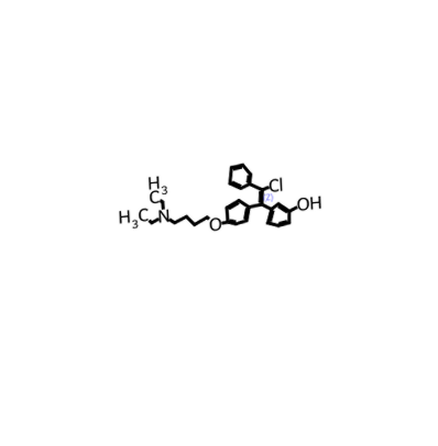 CCN(CC)CCCCOc1ccc(/C(=C(/Cl)c2ccccc2)c2cccc(O)c2)cc1